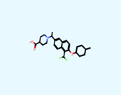 CC1CCC(Oc2ccc3cc(C(C)N4CCC(C(=O)O)CC4)ccc3c2C(F)F)CC1